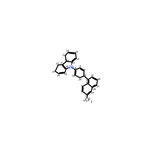 FC(F)(F)c1ccc2c(C3C=CC(N4C5=CC=CCC5C5=C4C=CCC5)=CC3)cccc2c1